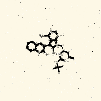 [2H]c1nc2ccccc2cc1-c1c(Br)n(C[C@H](CC=C)NC(=O)OC(C)(C)C)c2ncnc(N)c12